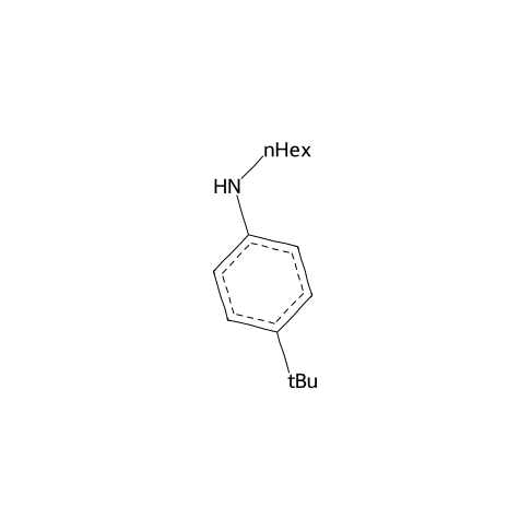 CCCCCCNc1ccc(C(C)(C)C)cc1